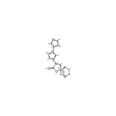 O=C1O[C@]2(CN3CCC2CC3)CN1c1coc(-c2ccco2)c1